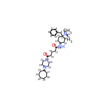 CN(C)C1(Cc2ccccc2)CCC(NC(=O)CCCC(=O)N2CCN(C3CCCCCC3)CC2)CC1